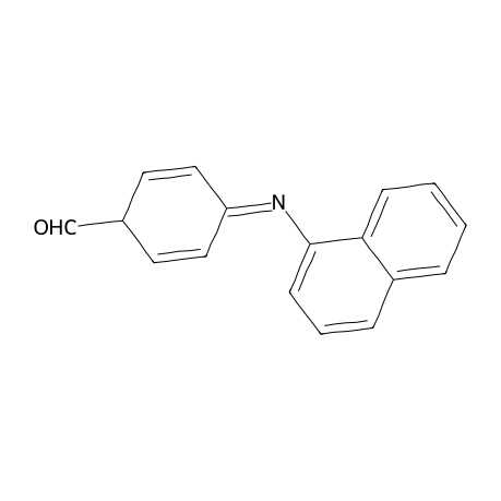 O=CC1C=CC(=Nc2cccc3ccccc23)C=C1